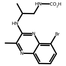 Cc1nc2cccc(Br)c2nc1NC(C)CNC(=O)O